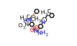 Cc1ccccc1C=C1CCN(c2ccc(/C(N)=N\S(=O)(=O)c3ccc(NC(C)(C)CSc4ccccc4)c([N+](=O)[O-])c3)cc2)CC1